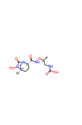 C[C@@H](CNC(=O)O)ONC(=O)[C@@H]1CC[C@@H]2CN1C(=O)N2O